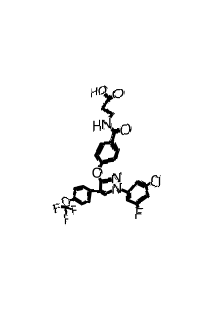 O=C(O)CCNC(=O)c1ccc(Oc2nn(-c3cc(F)cc(Cl)c3)cc2-c2ccc(OC(F)(F)F)cc2)cc1